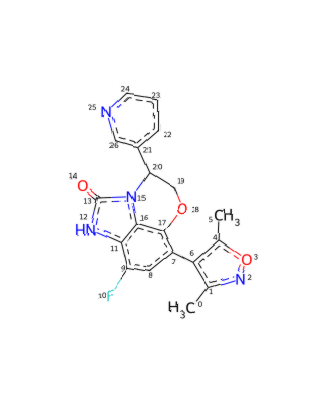 Cc1noc(C)c1-c1cc(F)c2[nH]c(=O)n3c2c1OCC3c1cccnc1